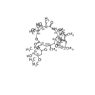 CC[C@H]1OC(=O)[C@H](C)[C@@H](OC2C[C@@](C)(OC)[C@H](O)[C@H](C)O2)[C@H](C)C(O[C@@H]2O[C@H](C)C[C@H](N(C)C)[C@H]2OC(C)=O)[C@](C)(OC)C[C@@H](C)NC(=O)[C@H](C)[C@@H](O)[C@]1(C)O